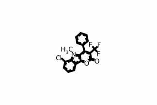 Cn1c2c(Cl)cccc2c2oc(=O)c(C(F)(F)F)c(-c3ccccc3)c21